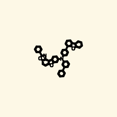 c1ccc(-c2cccc(N(c3ccc(-c4cccc5c4oc4ccccc45)cc3)c3ccc4c(c3)oc3ccc5oc(-c6ccccc6)nc5c34)c2)cc1